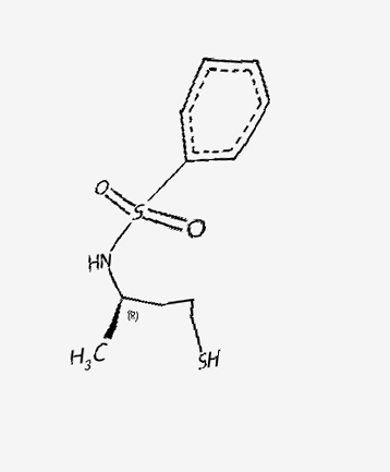 C[C@H](CS)NS(=O)(=O)c1ccccc1